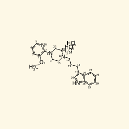 COc1cccnc1N1CCN(CCCc2c[nH]c3ccccc23)CC1.Cl.Cl.O